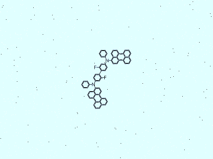 Fc1cc(N(c2ccccc2)c2ccc3c4cccc5cccc(c6cccc2c63)c54)ccc1-c1ccc(N(c2ccccc2)c2ccc3c4cccc5cccc(c6cccc2c63)c54)cc1F